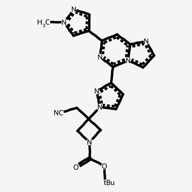 Cn1cc(-c2cc3nccn3c(-c3ccn(C4(CC#N)CN(C(=O)OC(C)(C)C)C4)n3)n2)cn1